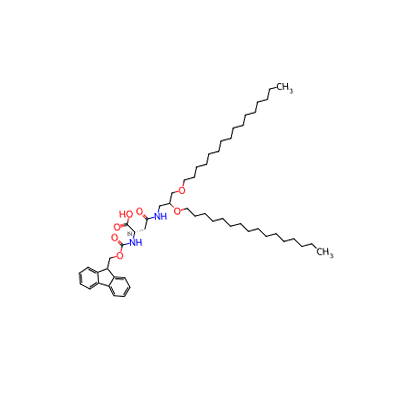 CCCCCCCCCCCCCCCCOCC(CNC(=O)C[C@H](NC(=O)OCC1c2ccccc2-c2ccccc21)C(=O)O)OCCCCCCCCCCCCCCCC